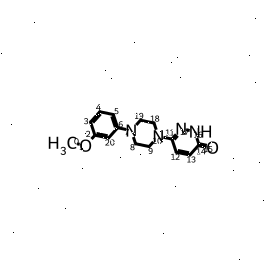 COc1cccc(N2CCN(c3ccc(=O)[nH]n3)CC2)c1